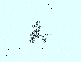 COc1ccnc(CNS(=O)(=O)c2nc3ccc(-n4cccc4)cc3n2S(=O)(=O)c2ccc(OCC(=O)[O-])cc2)c1C.[Na+]